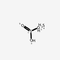 O=S(O)O.S